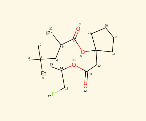 CCC(C)(C)CC(C(=O)OC1(CC(=O)OC(C)CF)CCCC1)C(C)C